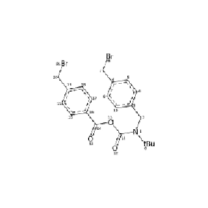 CC(C)(C)N(Cc1ccc(CBr)cc1)C(=O)OC(=O)c1ccc(CBr)cc1